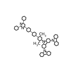 Cc1cc(-n2c3ccc(-n4c5ccccc5c5ccccc54)cc3c3cc(-n4c5ccccc5c5ccccc54)ccc32)c(C)cc1-c1ccc(-c2ccc(-c3cc(-c4ccccc4)nc(-c4ccccc4)n3)cc2)cc1